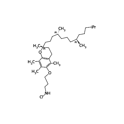 Cc1c(C)c2c(c(C)c1OCCCNCl)CC[C@@](C)(CCC[C@H](C)CCC[C@H](C)CCCC(C)C)O2